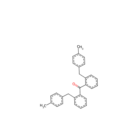 Cc1ccc(Cc2ccccc2C(=O)c2ccccc2Cc2ccc(C)cc2)cc1